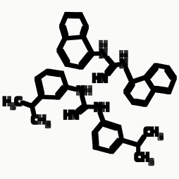 CC(C)c1cccc(NC(=N)Nc2cccc(C(C)C)c2)c1.N=C(Nc1cccc2ccccc12)Nc1cccc2ccccc12